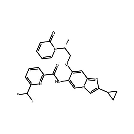 C[C@H](COc1cc2nc(C3CC3)cn2cc1NC(=O)c1cccc(C(F)F)n1)n1ccccc1=O